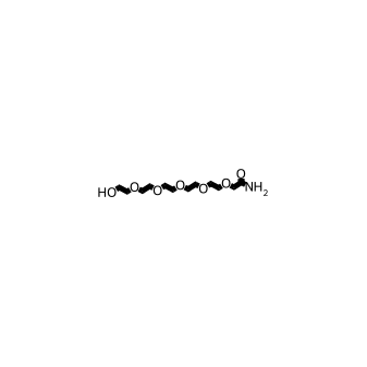 NC(=O)COCCOCCOCCOCCOCCO